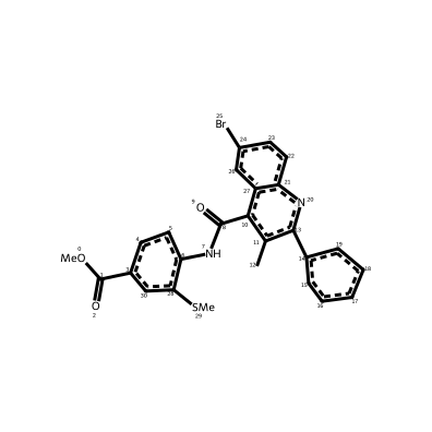 COC(=O)c1ccc(NC(=O)c2c(C)c(-c3ccccc3)nc3ccc(Br)cc23)c(SC)c1